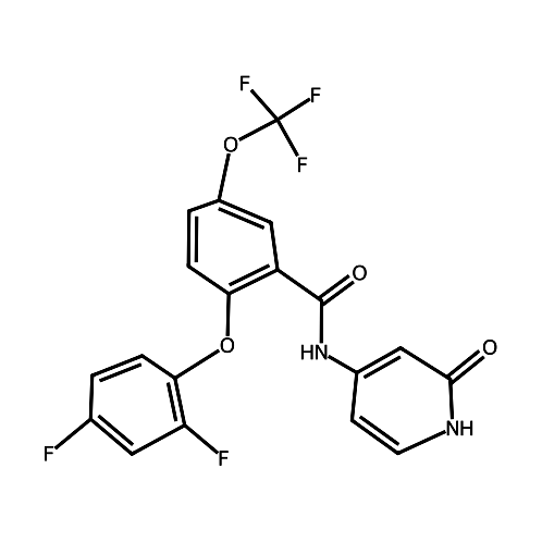 O=C(Nc1cc[nH]c(=O)c1)c1cc(OC(F)(F)F)ccc1Oc1ccc(F)cc1F